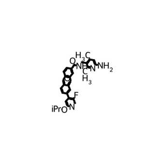 Cc1cc(N)nc(C)c1CNC(=O)c1ccc2c(c1)c1oc2c2ccc(-c3cc(OC(C)C)ncc3F)cc21